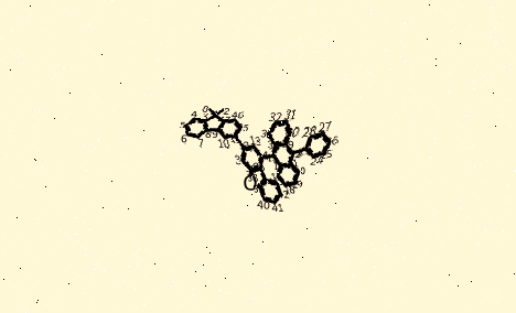 CC1(C)c2ccccc2-c2cc(-c3cc(-c4c5ccccc5c(-c5ccccc5)c5ccccc45)c4c(c3)oc3ccccc34)ccc21